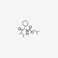 CCC(C)C(=O)[C@@H](NC(=O)OCC(C)C)C1CCCCC1